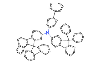 c1ccc(-c2ccc(N(c3ccc4c(c3)C(c3ccccc3)(c3ccccc3)c3ccccc3-4)c3ccc4c(c3)C3(c5ccccc5-c5ccccc53)c3c-4ccc4ccccc34)cc2)cc1